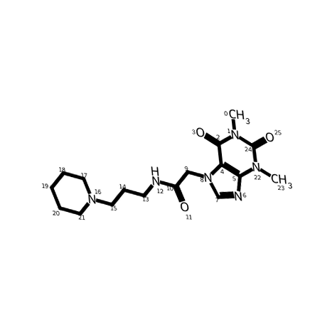 Cn1c(=O)c2c(ncn2CC(=O)NCCCN2CCCCC2)n(C)c1=O